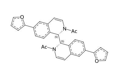 CC(=O)N1C=Cc2cc(-c3ccco3)ccc2[C@H]1[C@@H]1c2ccc(-c3ccco3)cc2C=CN1C(C)=O